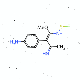 CO/C(NSF)=C(/C(C)=N)c1ccc(N)cc1